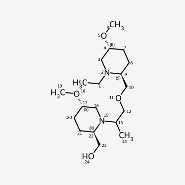 CCN1C[C@H](OC)CC[C@H]1COCC(C)N1C[C@@H](OC)CC[C@@H]1CO